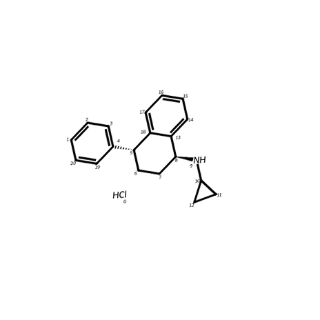 Cl.c1ccc([C@H]2CC[C@H](NC3CC3)c3ccccc32)cc1